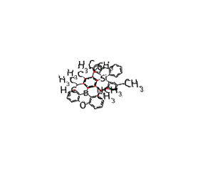 Cc1ccc2c(c1)[Si]1(c3ccccc3-c3ccccc31)c1cc(C)ccc1N2c1cccc2c1B(c1c(C(C)C)cc(C(C)C)cc1C(C)C)c1ccccc1O2